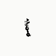 CCC(NC1CC1)c1nc(-c2ccc(C#Cc3cccc(F)c3)cn2)no1